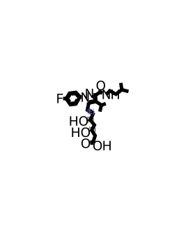 CC(C)CCNC(=O)c1nn(-c2ccc(F)cc2)c(/C=C/[C@H](O)C[C@@H](O)CC(=O)O)c1C(C)C